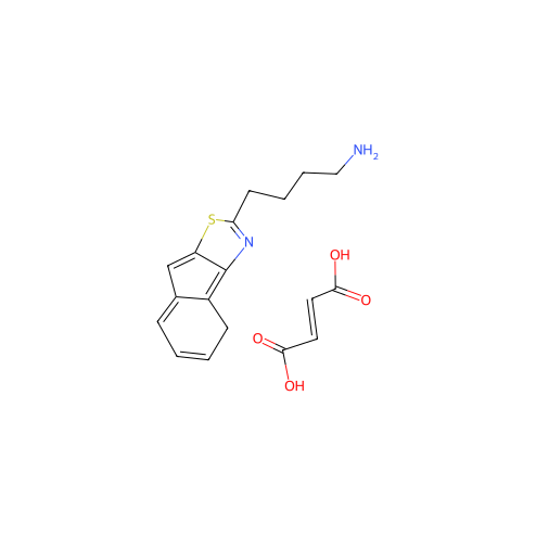 NCCCCc1nc2c(s1)=CC1=CC=CCC=21.O=C(O)C=CC(=O)O